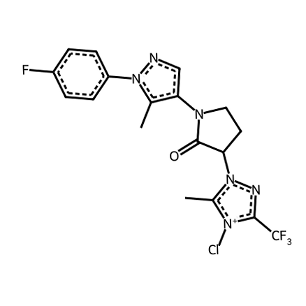 Cc1c(N2CCC(n3nc(C(F)(F)F)[n+](Cl)c3C)C2=O)cnn1-c1ccc(F)cc1